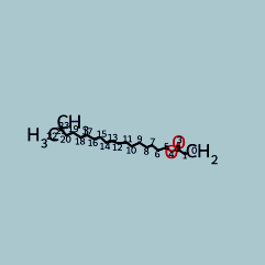 C=CC(=O)OCCCCCCCCCCCCCCCCC(C)C